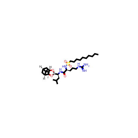 CCCCCCCCCCS(=O)(=O)N[C@@H](CCCNC(=N)N)C(=O)N[C@@H](CC(C)C)B1O[C@@H]2C[C@@H]3C[C@@H](C3(C)C)[C@]2(C)O1